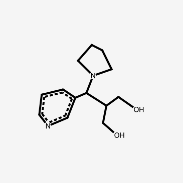 OCC(CO)C(c1cccnc1)N1CCCC1